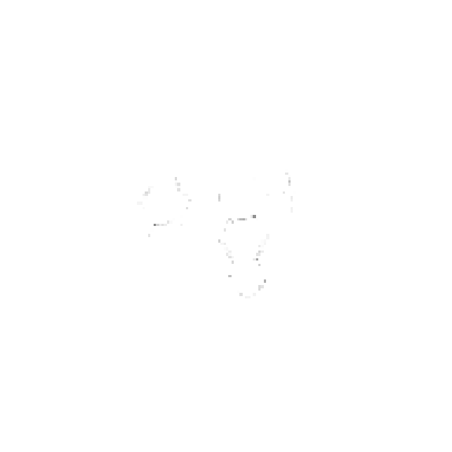 CN(c1cc2ncsc2cc1Nc1nc(Cl)ncc1Br)S(C)(=O)=O